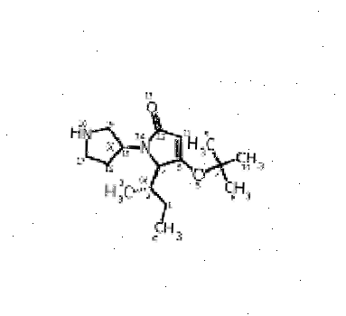 CC[C@H](C)C1C(OC(C)(C)C)=CC(=O)N1[C@H]1CCNC1